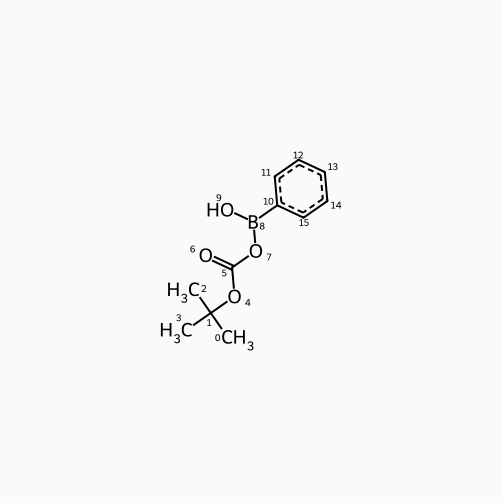 CC(C)(C)OC(=O)OB(O)c1ccccc1